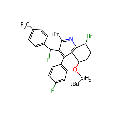 CC(C)c1nc2c(c(-c3ccc(F)cc3)c1C(F)c1ccc(C(F)(F)F)cc1)C(O[SiH2]C(C)(C)C)CCC2Br